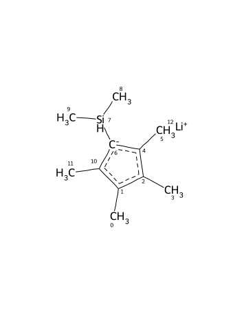 Cc1c(C)c(C)[c-]([SiH](C)C)c1C.[Li+]